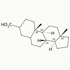 C[C@@]12CCC[C@H]1[C@@H]1CCC3CC(C(=O)O)CC[C@]3(C)[C@H]1CC2